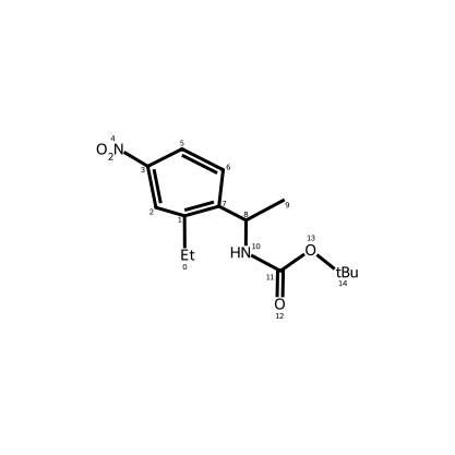 CCc1cc([N+](=O)[O-])ccc1C(C)NC(=O)OC(C)(C)C